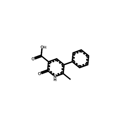 Cc1[nH]c(=O)c(C(=O)O)cc1-c1ccccc1